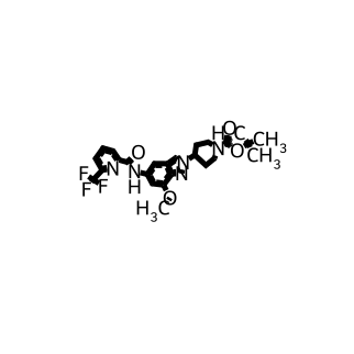 COc1cc(NC(=O)c2cccc(C(F)(F)F)n2)cc2cn(C3CCN(C(=O)OC(C)(C)C)CC3)nc12